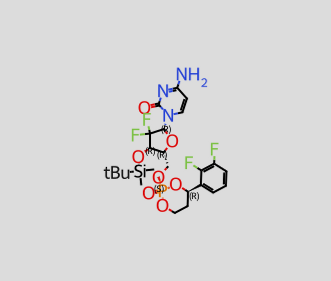 CC(C)(C)[Si](C)(C)O[C@@H]1[C@@H](CO[P@]2(=O)OCC[C@H](c3cccc(F)c3F)O2)O[C@@H](n2ccc(N)nc2=O)C1(F)F